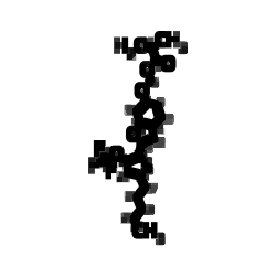 C=C(C)C(=O)OCOc1ccc2cc(-c3sc(CCCCC)cc3OC(F)(F)F)oc2c1